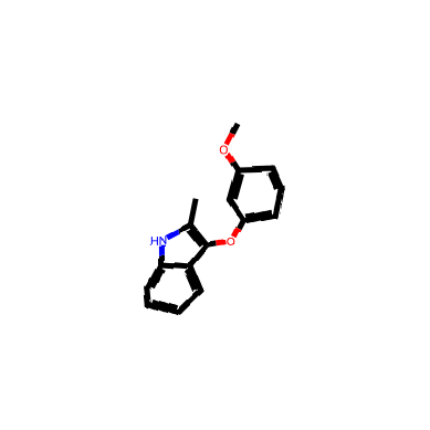 COc1cccc(Oc2c(C)[nH]c3ccccc23)c1